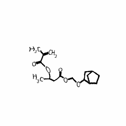 C=C(C)C(=O)OC(C)CC(=O)OCOC1CC2CCC1C2